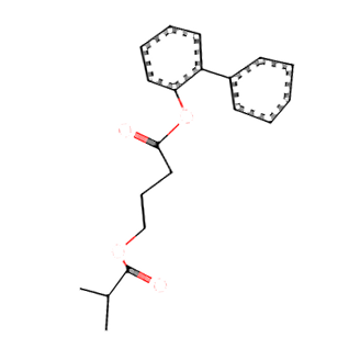 CC(C)C(=O)OCCCC(=O)Oc1ccccc1-c1ccccc1